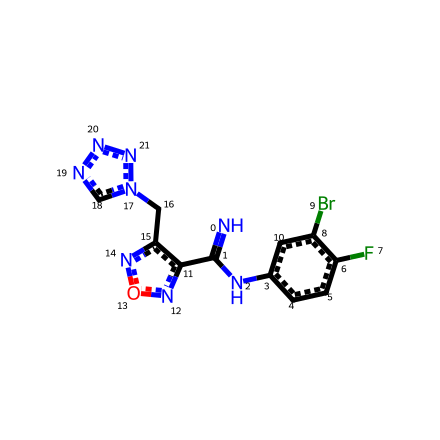 N=C(Nc1ccc(F)c(Br)c1)c1nonc1Cn1cnnn1